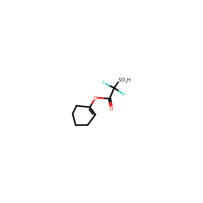 O=C(OC1=CCCCC1)C(F)(F)S(=O)(=O)O